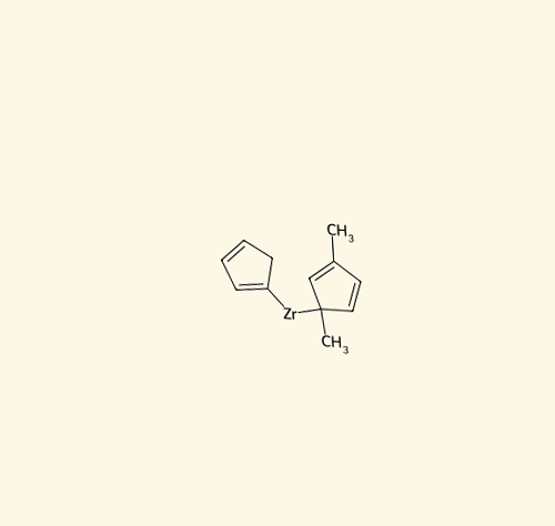 CC1=C[C](C)([Zr][C]2=CC=CC2)C=C1